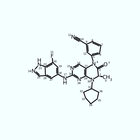 C[C@@H]1C(=O)N(c2cccc(C#N)c2)c2cnc(Nc3cc(F)c4[nH]ncc4c3)nc2N1C1CCCCC1